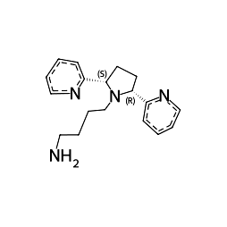 NCCCCN1[C@@H](c2ccccn2)CC[C@H]1c1ccccn1